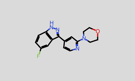 Fc1ccc2[nH]nc(-c3ccnc(N4CCOCC4)c3)c2c1